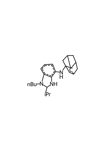 CCCCN1c2cccc(NC34CC5CC(CC(C5)C3)C4)c2NC1C(C)C